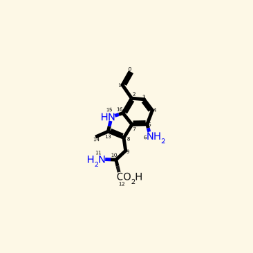 C=Cc1ccc(N)c2c(CC(N)C(=O)O)c(C)[nH]c12